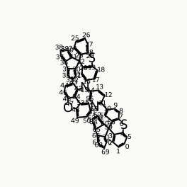 c1ccc2c(c1)Sc1ccc(-c3ccc(N(c4ccc5c(c4)C4(c6ccccc6S5)c5ccccc5-c5ccccc54)c4cccc5oc6ccccc6c45)cn3)cc1C21c2ccccc2-c2ccccc21